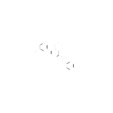 O=C(NCc1ccc(Cl)cc1)C1CCCCN1C(=O)c1cncc(Br)c1